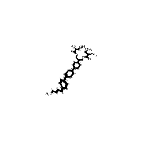 C=C(CO)C(=O)OCC(COC(=O)C(=C)CO)C1CCC(C2CC=C(c3ccc(CCCCC)cc3)CC2)CC1